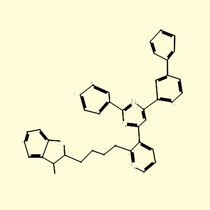 CC1c2ccccc2OC1CCCCc1ncccc1-c1cc(-c2cccc(-c3ccccc3)c2)nc(-c2ccccc2)n1